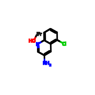 CC(C)O.Nc1cnc2cccc(Cl)c2c1